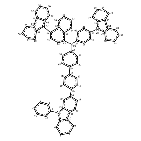 c1ccc(-n2c3ccccc3c3ccc(-c4ccc(-c5ccc(N(c6ccc(-n7c8ccccc8c8ccccc87)cc6)c6ccc(-n7c8ccccc8c8ccccc87)c7ccccc67)cc5)cc4)cc32)cc1